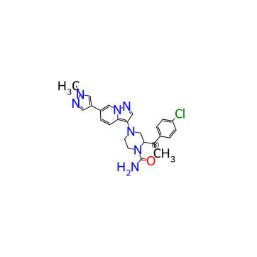 C[C@H](c1ccc(Cl)cc1)C1CN(c2cnn3cc(-c4cnn(C)c4)ccc23)CCN1C(N)=O